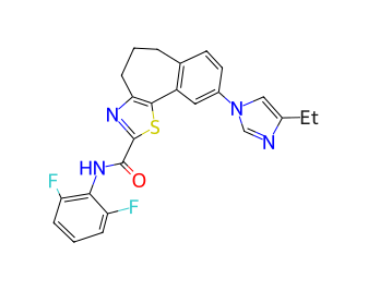 CCc1cn(-c2ccc3c(c2)-c2sc(C(=O)Nc4c(F)cccc4F)nc2CCC3)cn1